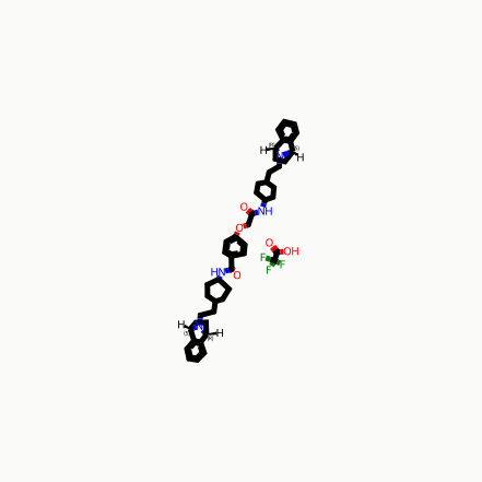 O=C(COc1ccc(C(=O)NC2CCC(CCN3[C@@H]4CC[C@H]3c3ccccc34)CC2)cc1)NC1CCC(CCN2[C@@H]3CC[C@H]2c2ccccc23)CC1.O=C(O)C(F)(F)F